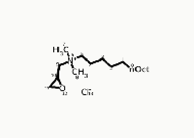 CCCCCCCCCCCCC[N+](C)(C)CC1CO1.[Cl-]